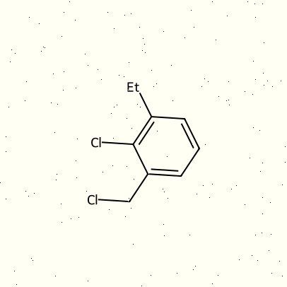 CCc1cccc(CCl)c1Cl